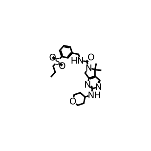 CCCS(=O)(=O)c1cccc(CNC(=O)N2Cc3nc(NC4CCOCC4)ncc3C2(C)C)c1